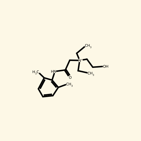 CC[N+](CC)(CCO)CC(=O)Nc1c(C)cccc1C